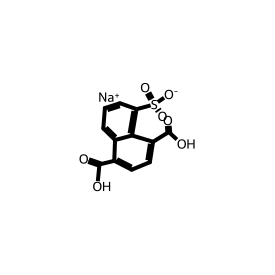 O=C(O)c1ccc(C(=O)O)c2c(S(=O)(=O)[O-])cccc12.[Na+]